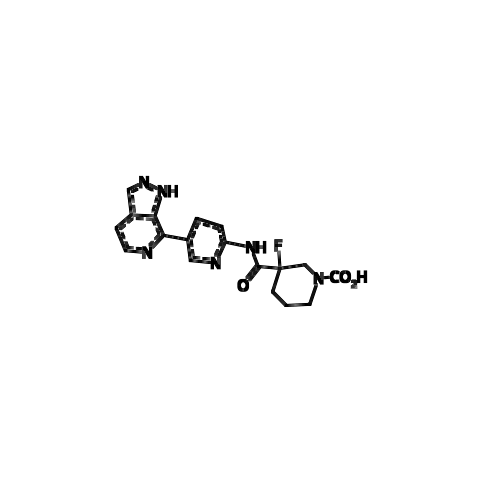 O=C(O)N1CCCC(F)(C(=O)Nc2ccc(-c3nccc4cn[nH]c34)cn2)C1